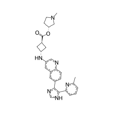 Cc1cccc(-c2[nH]cnc2-c2ccc3ncc(N[C@H]4C[C@H](C(=O)O[C@@H]5CCN(C)C5)C4)cc3c2)n1